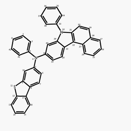 c1ccc(N(c2ccc3c(c2)sc2ccccc23)c2ccc3c4c5ccccc5ccc4n(-c4ccccc4)c3c2)cc1